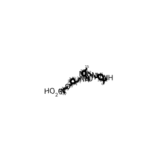 Cc1c[nH]c2ccc(CNC(=O)Cn3c(C)cnc(NCCc4cccc(COCCN(C)C(=O)O)c4)c3=O)cc12